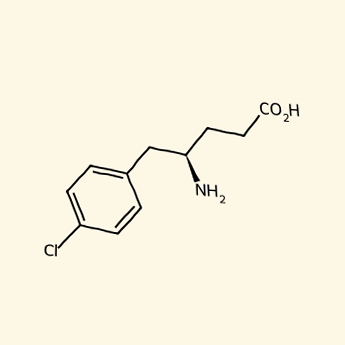 N[C@H](CCC(=O)O)Cc1ccc(Cl)cc1